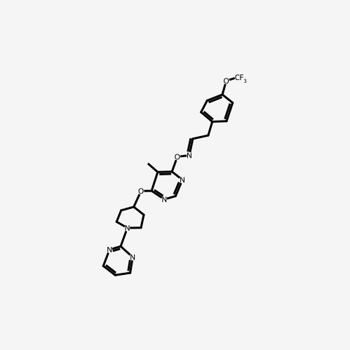 Cc1c(ON=CCc2ccc(OC(F)(F)F)cc2)ncnc1OC1CCN(c2ncccn2)CC1